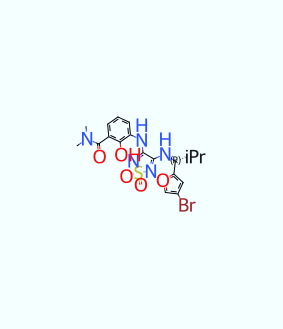 CC(C)[C@@H](NC1=NS(=O)(=O)N=C1Nc1cccc(C(=O)N(C)C)c1O)c1cc(Br)co1